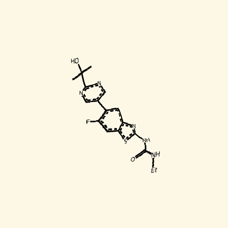 CCNC(=O)Nc1nc2cc(-c3cnc(C(C)(C)O)nc3)c(F)cc2s1